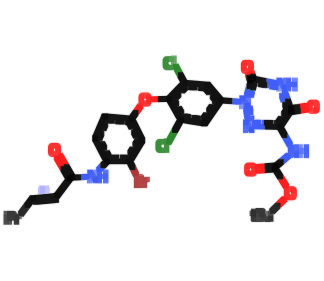 CC(C)/C=C/C(=O)Nc1ccc(Oc2c(Cl)cc(-n3nc(NC(=O)OC(C)(C)C)c(=O)[nH]c3=O)cc2Cl)cc1Br